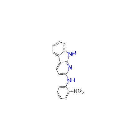 O=[N+]([O-])c1ccccc1Nc1ccc2c(n1)[nH]c1ccccc12